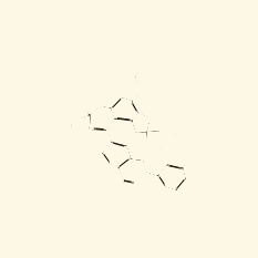 CCOc1cc2c(c3c1OC(C)(C)C3)C(c1ccc(C(=O)O)c(NCc3cccc(Cl)c3)c1)=NC(C)(C)C2